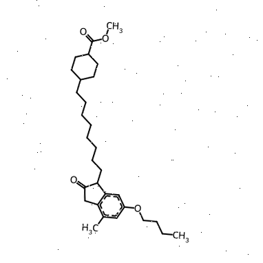 CCCCOc1cc(C)c2c(c1)C(CCCCCCCCC1CCC(C(=O)OC)CC1)C(=O)C2